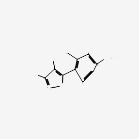 CCOC(=O)c1noc(-c2ccc(OC)cc2Cl)c1Br